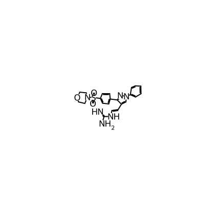 N=C(N)N/C=C/c1cn(-c2ccccc2)nc1-c1ccc(S(=O)(=O)N2CCOCC2)cc1